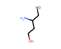 NC(CCO)CN=O